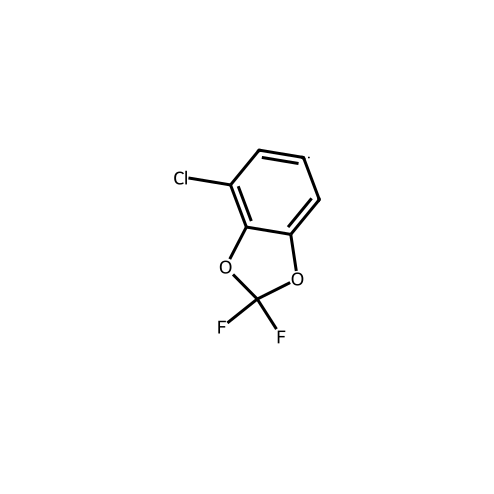 FC1(F)Oc2c[c]cc(Cl)c2O1